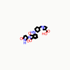 O=C1CCC(N2C(=O)c3cccc(NC4CCC(CN5CC[C@@H](C(=O)O)C5)CC4)c3C2=O)C(=O)N1